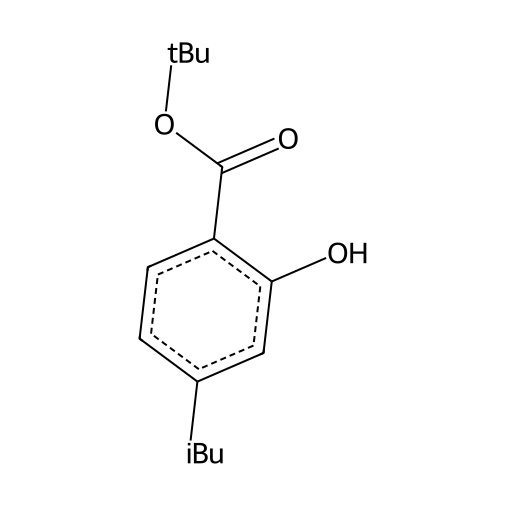 CCC(C)c1ccc(C(=O)OC(C)(C)C)c(O)c1